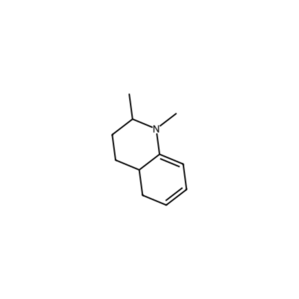 CC1CCC2CC=CC=C2N1C